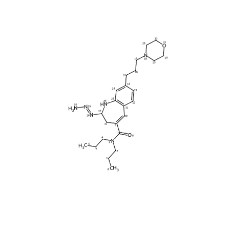 CCCN(CCC)C(=O)C1=Cc2ccc(CCCN3CCOCC3)cc2NC(N=NN)C1